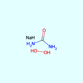 NC(N)=O.OO.[NaH]